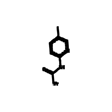 CCCC(=O)Nc1ccc(C)cn1